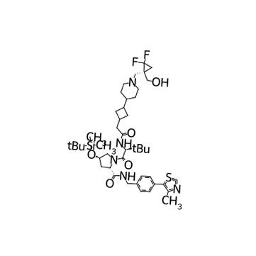 Cc1ncsc1-c1ccc(CNC(=O)[C@@H]2C[C@@H](O[Si](C)(C)C(C)(C)C)CN2C(=O)[C@@H](NC(=O)CC2CC(C3CCN(C[C@@]4(CO)CC4(F)F)CC3)C2)C(C)(C)C)cc1